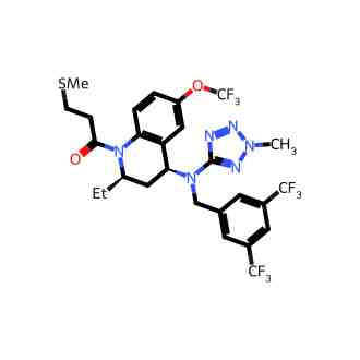 CC[C@@H]1C[C@H](N(Cc2cc(C(F)(F)F)cc(C(F)(F)F)c2)c2nnn(C)n2)c2cc(OC(F)(F)F)ccc2N1C(=O)CCSC